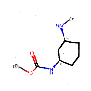 CCN[C@H]1CCC[C@@H](NC(=O)OC(C)(C)C)C1